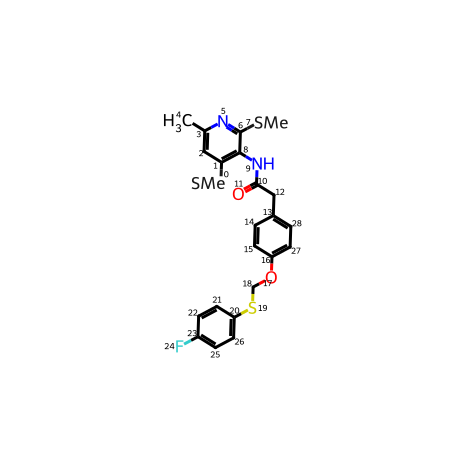 CSc1cc(C)nc(SC)c1NC(=O)Cc1ccc(OCSc2ccc(F)cc2)cc1